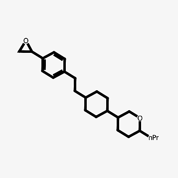 CCCC1CCC(C2CCC(CCc3ccc(C4CO4)cc3)CC2)CO1